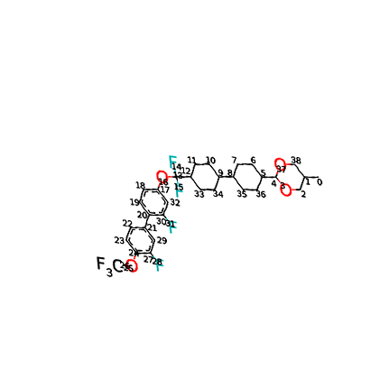 CC1COC(C2CCC(C3CCC(C(F)(F)Oc4ccc(-c5ccc(OC(F)(F)F)c(F)c5)c(F)c4)CC3)CC2)OC1